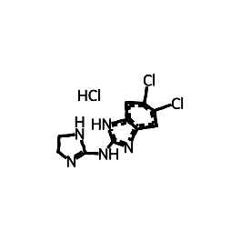 Cl.Clc1cc2nc(NC3=NCCN3)[nH]c2cc1Cl